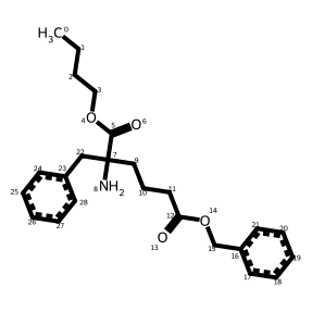 CCCCOC(=O)C(N)(CCCC(=O)OCc1ccccc1)Cc1ccccc1